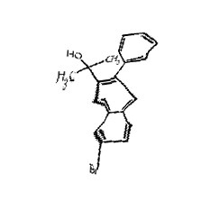 CC(C)(O)c1cc2cc(Br)ccc2cc1-c1ccccc1